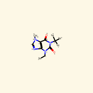 [2H]Cn1c(=O)n(C([2H])([2H])[2H])c(=O)c2c1ncn2C